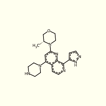 C[C@@H]1COCCN1c1cc(N2CCNCC2)c2ccnc(-c3ccn[nH]3)c2n1